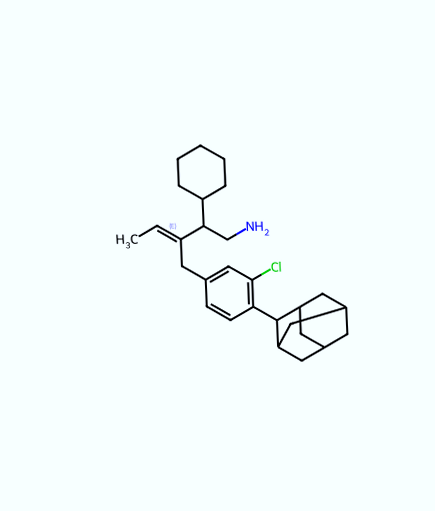 C/C=C(\Cc1ccc(C2C3CC4CC(C3)CC2C4)c(Cl)c1)C(CN)C1CCCCC1